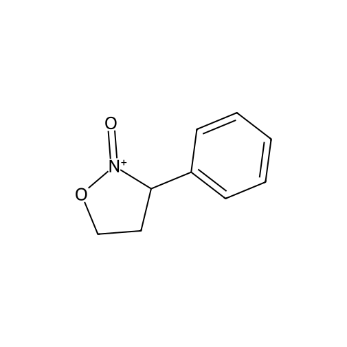 O=[N+]1OCCC1c1ccccc1